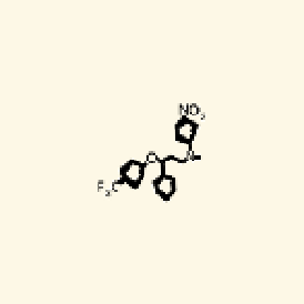 CN(CCC(Oc1ccc(C(F)(F)F)cc1)c1ccccc1)c1ccc([N+](=O)[O-])cc1